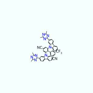 Cc1nc(C)nc(-c2ccc3c4ccccc4n(-c4cc(C#N)cc(-n5c6ccccc6c6ccc(-c7nc(C)nc(C)n7)cc65)c4-c4cc(C#N)cc(C(F)(F)F)c4)c3c2)n1